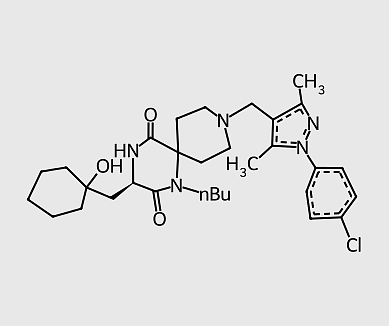 CCCCN1C(=O)[C@@H](CC2(O)CCCCC2)NC(=O)C12CCN(Cc1c(C)nn(-c3ccc(Cl)cc3)c1C)CC2